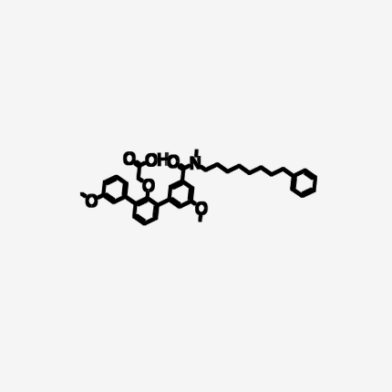 COc1cccc(-c2cccc(-c3cc(OC)cc(C(=O)N(C)CCCCCCCCc4ccccc4)c3)c2OCC(=O)O)c1